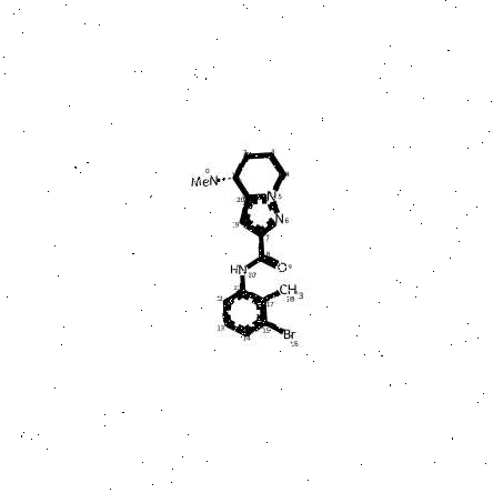 CN[C@@H]1CCCn2nc(C(=O)Nc3cccc(Br)c3C)cc21